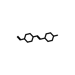 C=CC1CCC(C=CC2CCC(C)CC2)CC1